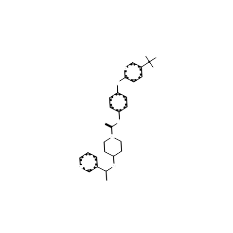 CC(NC1CCN(C(=O)Oc2ccc(Oc3ccc(C(F)(F)F)cn3)cc2)CC1)c1cccnc1